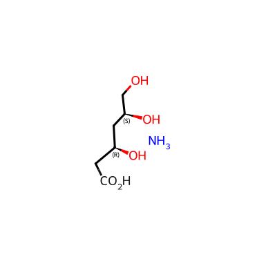 N.O=C(O)C[C@H](O)C[C@H](O)CO